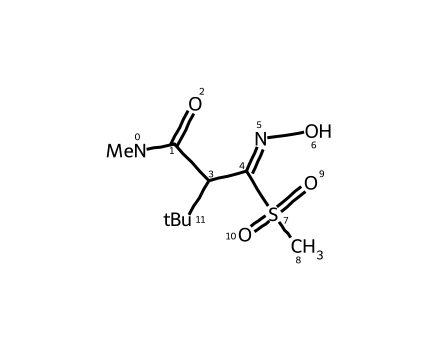 CNC(=O)C(/C(=N/O)S(C)(=O)=O)C(C)(C)C